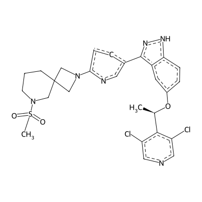 C[C@@H](Oc1ccc2[nH]nc(-c3ccc(N4CC5(CCCN(S(C)(=O)=O)C5)C4)nc3)c2c1)c1c(Cl)cncc1Cl